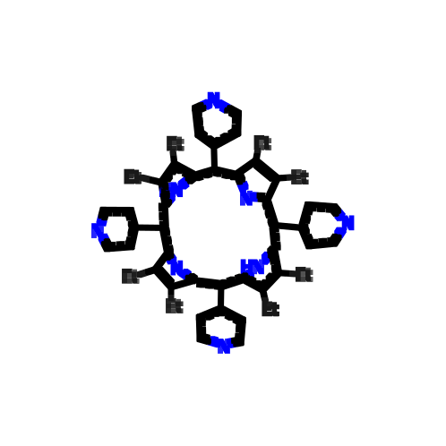 CCC1=C(CC)c2nc1c(-c1ccncc1)c1[nH]c(c(CC)c1CC)c(-c1ccncc1)c1nc(c(-c3ccncc3)c3[nH]c(c(CC)c3CC)c2-c2ccncc2)C(CC)=C1CC